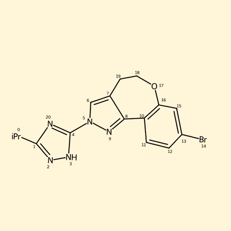 CC(C)c1n[nH]c(-n2cc3c(n2)-c2ccc(Br)cc2OCC3)n1